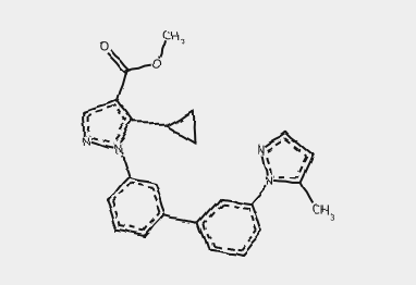 COC(=O)c1cnn(-c2cccc(-c3cccc(-n4nccc4C)c3)c2)c1C1CC1